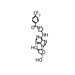 O=C(c1ccc(C(F)(F)F)cc1)N1CCC(Nc2ncnc3c2ncn3[C@@H]2O[C@H](CO)C[C@H]2O)C1